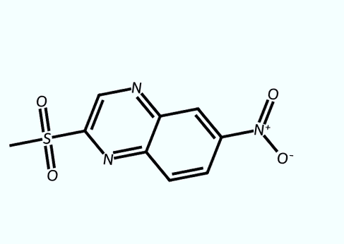 CS(=O)(=O)c1cnc2cc([N+](=O)[O-])ccc2n1